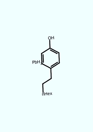 CCCCCCCCc1ccc(O)cc1.[PbH2]